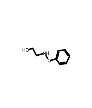 OCCNOc1ccccc1